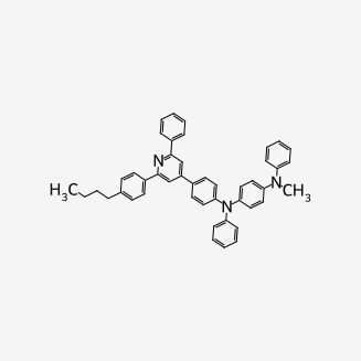 CCCCc1ccc(-c2cc(-c3ccc(N(c4ccccc4)c4ccc(N(C)c5ccccc5)cc4)cc3)cc(-c3ccccc3)n2)cc1